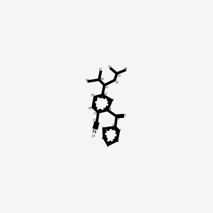 C=C(c1ccccc1)c1cc(C(CC(C)C)C(C)C)ccc1C#N